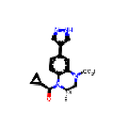 C[C@H]1CN(C(=O)O)c2cc(-c3cn[nH]c3)ccc2N1C(=O)C1CC1